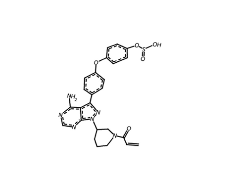 C=CC(=O)N1CCCC(n2nc(-c3ccc(Oc4ccc(OS(=O)O)cc4)cc3)c3c(N)ncnc32)C1